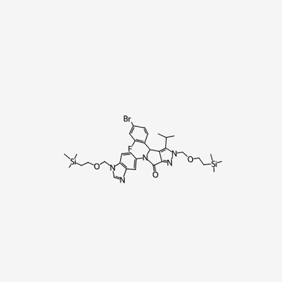 CC(C)c1c2c(nn1COCC[Si](C)(C)C)C(=O)N(c1ccc3c(c1)ncn3COCC[Si](C)(C)C)C2c1ccc(Br)cc1F